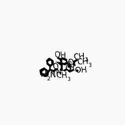 CC(C)CCN([C@H](CO)CCC[C@H](C1CC1)N(C)C(=O)[C@@H](N)C(c1ccccc1)c1ccccc1)S(=O)(=O)c1ccc(CO)cc1